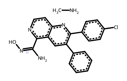 CN.N/C(=N/O)c1nccc2nc(-c3ccc(Cl)cc3)c(-c3ccccc3)cc12